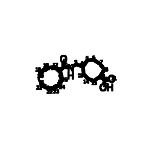 O=C(NCC1CCCCC(C(=O)O)CCC1)c1ccccccccc1